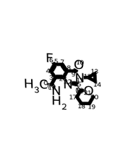 C[C@@H](N)c1cc(F)cc2c(=O)n(C3CC3)c([C@H]3CCCCO3)nc12